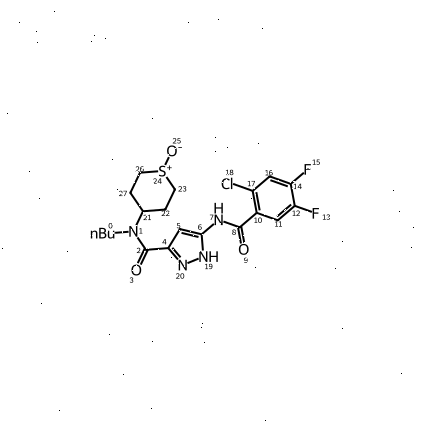 CCCCN(C(=O)c1cc(NC(=O)c2cc(F)c(F)cc2Cl)[nH]n1)C1CC[S+]([O-])CC1